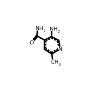 Cc1cc(C(N)=O)c(N)cn1